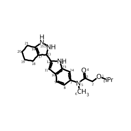 CC(C)OCC(=O)N(C)c1ccc2cc(C3NNC4=C3CCCC4)[nH]c2c1